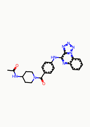 CC(=O)NC1CCN(C(=O)c2ccc(Nc3nc4ccccc4n4nnnc34)cc2)CC1